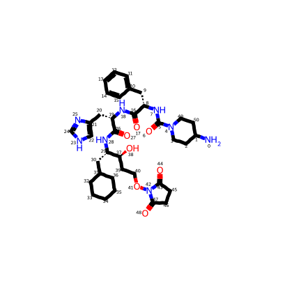 NC1CCN(C(=O)N[C@@H](Cc2ccccc2)C(=O)N[C@@H](Cc2c[nH]cn2)C(=O)N[C@@H](CC2CCCCC2)[C@@H](O)CCON2C(=O)CCC2=O)CC1